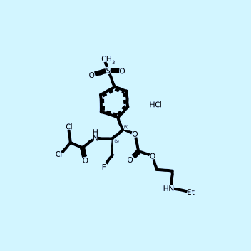 CCNCCOC(=O)O[C@H](c1ccc(S(C)(=O)=O)cc1)[C@@H](CF)NC(=O)C(Cl)Cl.Cl